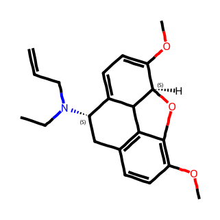 C=CCN(CC)[C@H]1Cc2ccc(OC)c3c2C2C1=CC=C(OC)[C@H]2O3